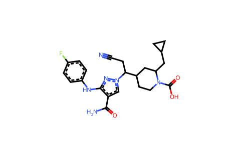 N#CCC(C1CCN(C(=O)O)C(CC2CC2)C1)n1cc(C(N)=O)c(Nc2ccc(F)cc2)n1